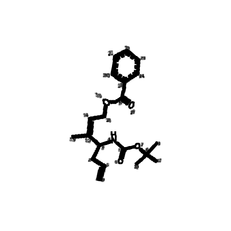 C=CCC(NC(=O)OC(C)(C)C)C(C)=CCOC(=O)c1ccccc1